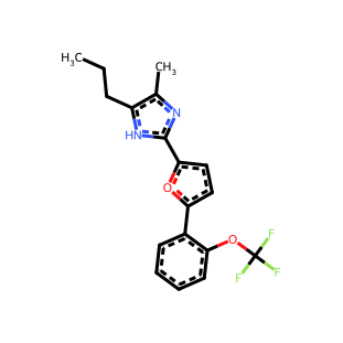 CCCc1[nH]c(-c2ccc(-c3ccccc3OC(F)(F)F)o2)nc1C